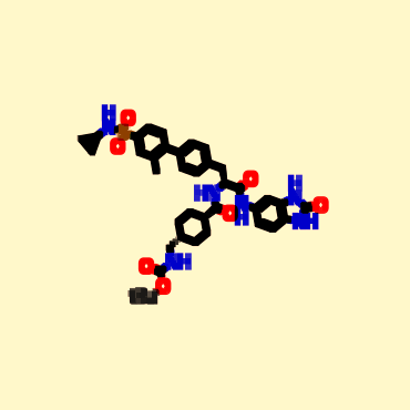 Cc1cc(S(=O)(=O)NC2CC2)ccc1-c1ccc(C[C@H](NC(=O)[C@H]2CC[C@H](CNC(=O)OC(C)(C)C)CC2)C(=O)Nc2ccc3[nH]c(=O)[nH]c3c2)cc1